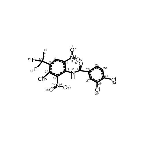 O=C(Nc1c([N+](=O)[O-])cc(C(F)(F)F)c(Cl)c1[N+](=O)[O-])c1ccc(Cl)c(Cl)c1